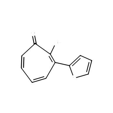 O=c1ccccc(-c2cccs2)c1O